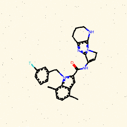 Cc1ccc(C)c2c1cc(C(=O)NC1=CCn3c1nc1c3NCCC1)n2Cc1cccc(F)c1